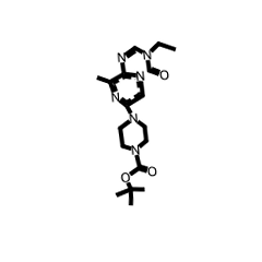 CCN(C=O)/C=N\c1ncc(N2CCN(C(=O)OC(C)(C)C)CC2)nc1C